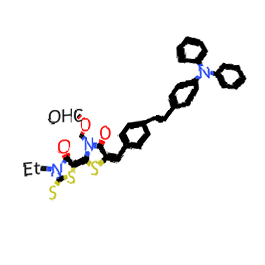 CCN1C(=O)/C(=c2/s/c(=C/c3ccc(/C=C/c4ccc(N(c5ccccc5)c5ccccc5)cc4)cc3)c(=O)n2COC=O)SC1=S